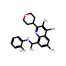 Cc1cc(C(C)Nc2ccccc2C(=O)O)c2nc(C3CCOCC3)c(C)c(C#N)c2c1